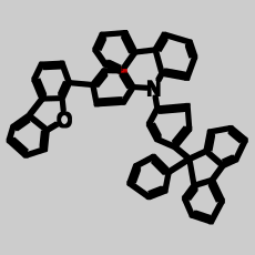 c1ccc(-c2ccccc2N(c2ccc(-c3cccc4c3oc3ccccc34)cc2)c2ccc(C3(c4ccccc4)c4ccccc4-c4ccccc43)cc2)cc1